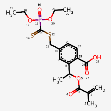 C=C(C)C(=O)OC(C)c1cc(CSC(=S)P(=O)(OCC)OCC)ccc1C(=O)O